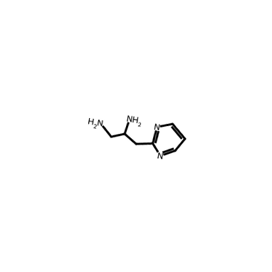 NCC(N)Cc1ncccn1